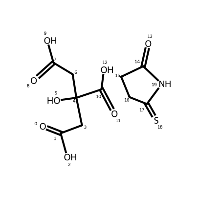 O=C(O)CC(O)(CC(=O)O)C(=O)O.O=C1CCC(=S)N1